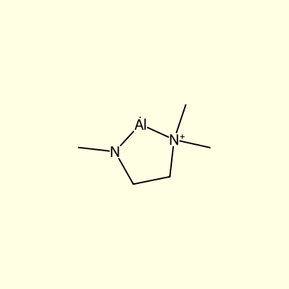 C[N]1CC[N+](C)(C)[Al]1